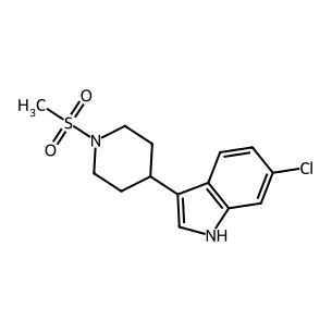 CS(=O)(=O)N1CCC(c2c[nH]c3cc(Cl)ccc23)CC1